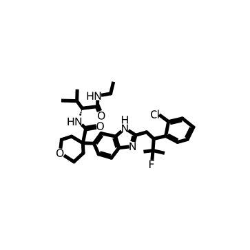 CCNC(=O)[C@H](NC(=O)C1(c2ccc3nc(CC(c4ccccc4Cl)C(C)(C)F)[nH]c3c2)CCOCC1)C(C)C